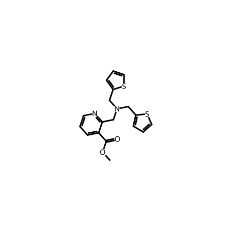 COC(=O)c1cccnc1CN(Cc1cccs1)Cc1cccs1